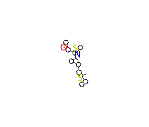 Cc1c(-c2cccc3ccccc23)sc2ccc(-c3ccc4cc(-c5cc(-c6ccc7oc8ccccc8c7c6)c6sc7ccccc7c6n5)c5ccccc5c4c3)cc12